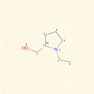 [CH2]CN1CCC[C@H]1CO